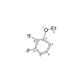 C[CH]Oc1cccc(F)c1F